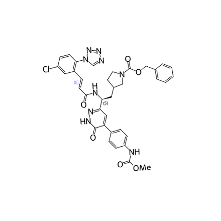 COC(=O)Nc1ccc(-c2cc([C@H](CC3CCN(C(=O)OCc4ccccc4)C3)NC(=O)/C=C/c3cc(Cl)ccc3-n3cnnn3)n[nH]c2=O)cc1